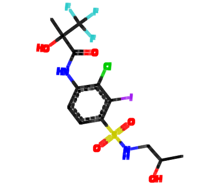 CC(O)CNS(=O)(=O)c1ccc(NC(=O)C(C)(O)C(F)(F)F)c(Cl)c1I